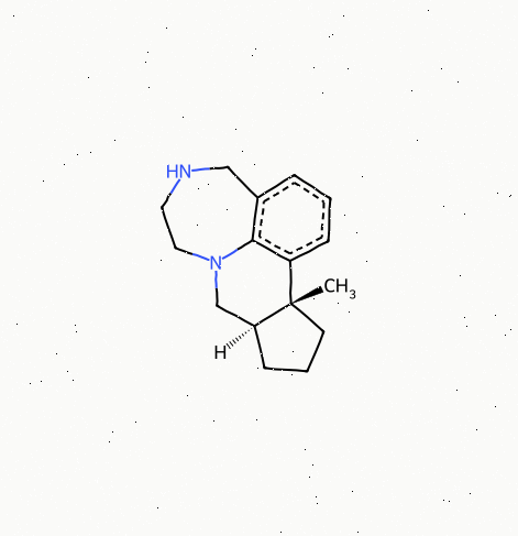 C[C@@]12CCC[C@H]1CN1CCNCc3cccc2c31